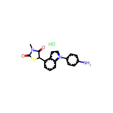 CN1C(=O)SC(c2cccc3c2ccn3-c2ccc(N)cc2)C1=O.Cl